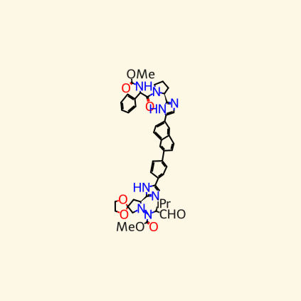 COC(=O)NC(C(=O)N1CCC[C@H]1c1ncc(-c2ccc3cc(-c4ccc(-c5cnc([C@@H]6CC7(CN6N(C(=O)OC)C(C=O)C(C)C)OCCO7)[nH]5)cc4)ccc3c2)[nH]1)c1ccccc1